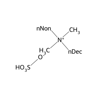 CCCCCCCCCC[N+](C)(C)CCCCCCCCC.O=S(=O)([O-])O